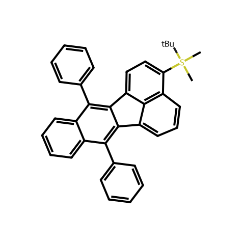 CC(C)(C)S(C)(C)c1ccc2c3c(cccc13)-c1c-2c(-c2ccccc2)c2ccccc2c1-c1ccccc1